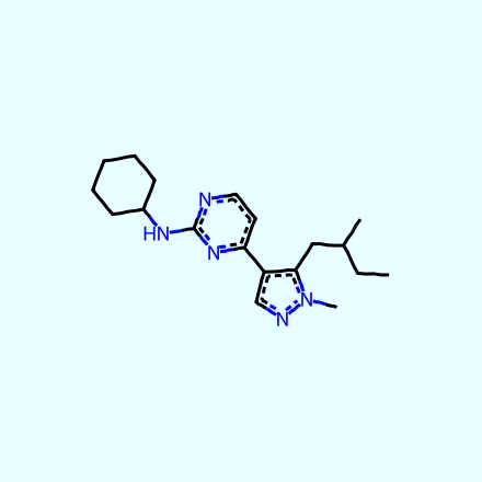 CCC(C)Cc1c(-c2ccnc(NC3CCCCC3)n2)cnn1C